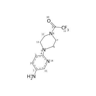 Nc1ccc(N2CCN(C(=O)C(F)(F)F)CC2)nc1